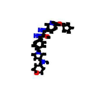 CN(C1CCOCC1)C1CCN(c2ccc(NC(=O)Nc3ccc(OC4CCCC4)nc3)cc2)C1